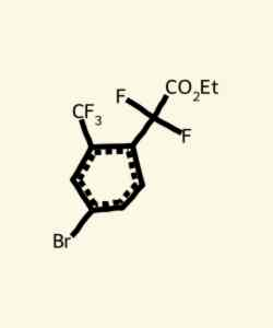 CCOC(=O)C(F)(F)c1ccc(Br)cc1C(F)(F)F